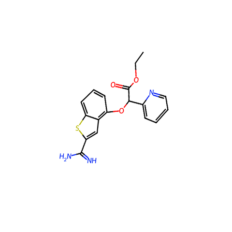 CCOC(=O)C(Oc1cccc2sc(C(=N)N)cc12)c1ccccn1